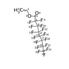 C=COC(=O)C(F)(F)C(F)(F)C(F)(F)C(F)(F)C(F)(F)C(F)(F)C(F)(F)F